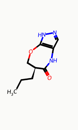 CCC[C@H]1COc2[nH]ncc2NC1=O